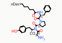 CCCCCCCCCCCCCCCC(=O)N[C@@H](Cc1ccccc1)C(=O)N1CCC[C@H]1C(=O)N(C(=O)CN)[C@@H](Cc1ccc(O)cc1)C(=O)O